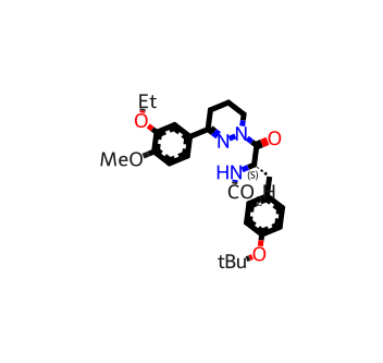 CCOc1cc(C2=NN(C(=O)[C@H](Cc3ccc(OC(C)(C)C)cc3)NC(=O)O)CCC2)ccc1OC